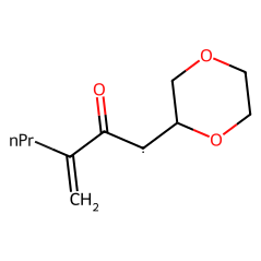 C=C(CCC)C(=O)[CH]C1COCCO1